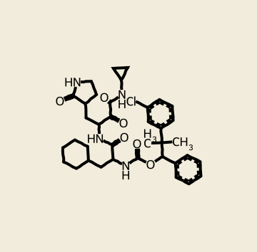 CC(C)(c1cccc(Cl)c1)C(OC(=O)NC(CC1CCCCC1)C(=O)NC(CC1CCNC1=O)C(=O)C(=O)NC1CC1)c1ccccc1